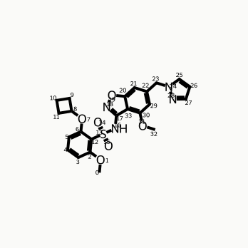 COc1cccc(OC2CCC2)c1S(=O)(=O)Nc1noc2cc(Cn3cccn3)cc(OC)c12